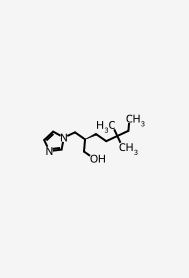 CCC(C)(C)CC[C@@H](CO)Cn1ccnc1